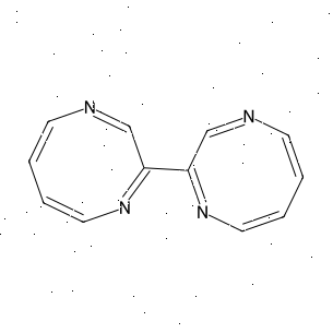 C1=CN=CC(C2=NC=CC=CN=C2)=NC=C1